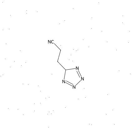 N#CCCC1N=NN=N1